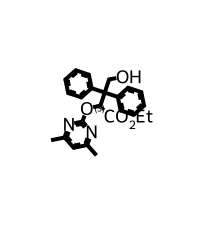 CCOC(=O)[C@@H](Oc1nc(C)cc(C)n1)C(CO)(c1ccccc1)c1ccccc1